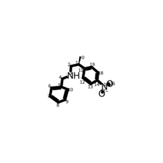 C[C@H](CNCc1ccccc1)c1ccc([N+](=O)[O-])cc1